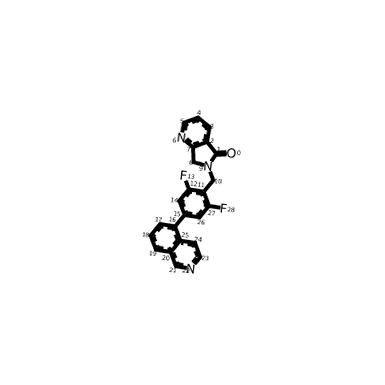 O=C1c2cccnc2CN1Cc1c(F)cc(-c2cccc3cnccc23)cc1F